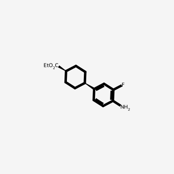 CCOC(=O)[C@H]1CC[C@@H](c2ccc(N)c(F)c2)CC1